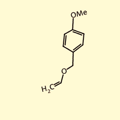 C=COCc1ccc(OC)cc1